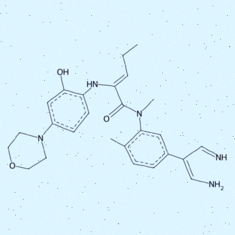 CC/C=C(\Nc1ccc(N2CCOCC2)cc1O)C(=O)N(C)c1cc(/C(C=N)=C/N)ccc1C